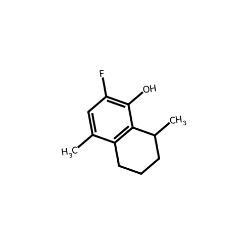 Cc1cc(F)c(O)c2c1CCCC2C